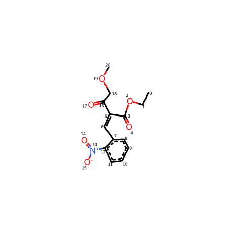 CCOC(=O)C(=Cc1ccccc1[N+](=O)[O-])C(=O)COC